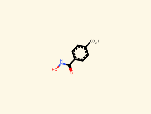 O=C(O)c1ccc(C(=O)NO)cc1